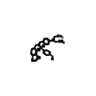 CCN(CC)c1ccc(CN(Cc2ccc3c(c2)OCO3)S(=O)(=O)c2ccc(C=O)cc2)cc1